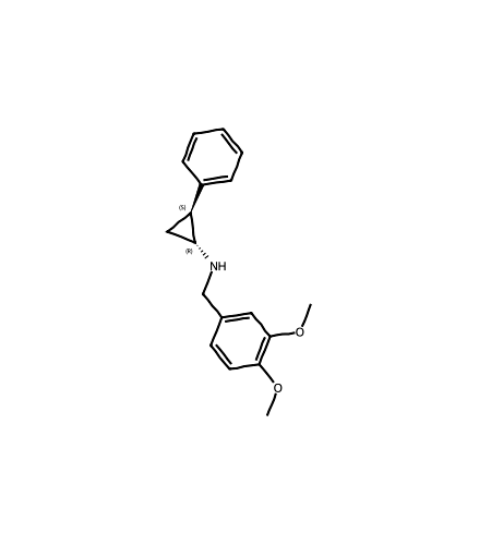 COc1ccc(CN[C@@H]2C[C@H]2c2ccccc2)cc1OC